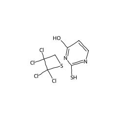 ClC1(Cl)CSC1(Cl)Cl.Oc1ccnc(S)n1